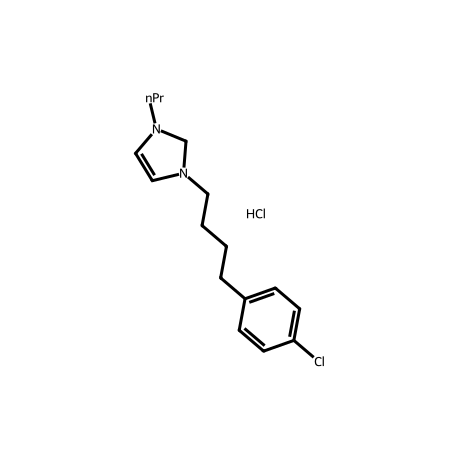 CCCN1C=CN(CCCCc2ccc(Cl)cc2)C1.Cl